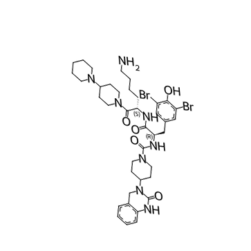 NCCCC[C@H](NC(=O)[C@@H](Cc1cc(Br)c(O)c(Br)c1)NC(=O)N1CCC(N2Cc3ccccc3NC2=O)CC1)C(=O)N1CCC(N2CCCCC2)CC1